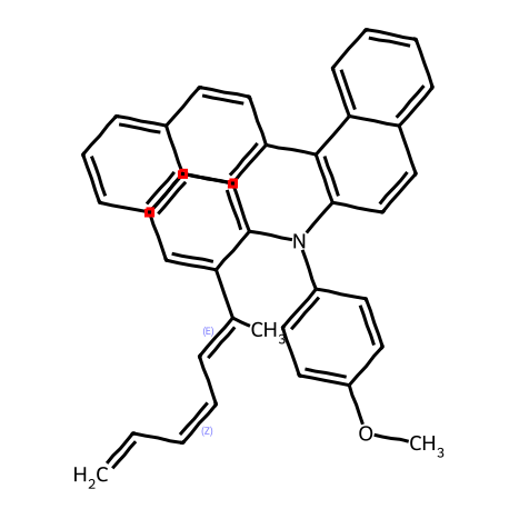 C=C/C=C\C=C(/C)c1ccccc1N(c1ccc(OC)cc1)c1ccc2ccccc2c1-c1ccc2ccccc2c1